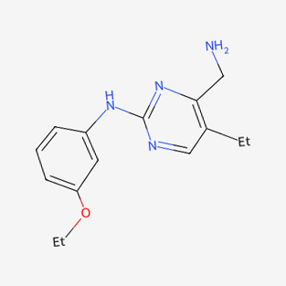 CCOc1cccc(Nc2ncc(CC)c(CN)n2)c1